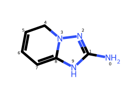 NC1=NN2CC=CC=C2N1